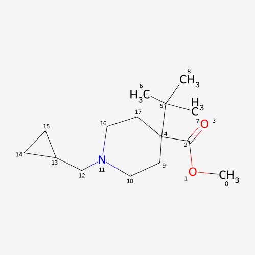 COC(=O)C1(C(C)(C)C)CCN(CC2CC2)CC1